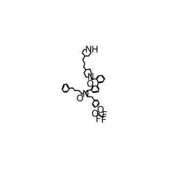 O=C(CCCc1ccccc1)N(CCc1ccc(OC(=O)C(F)(F)F)cc1)Cc1cccc(-c2ccccc2C(=O)N2CCC(CCCC3CCNCC3)CC2)c1